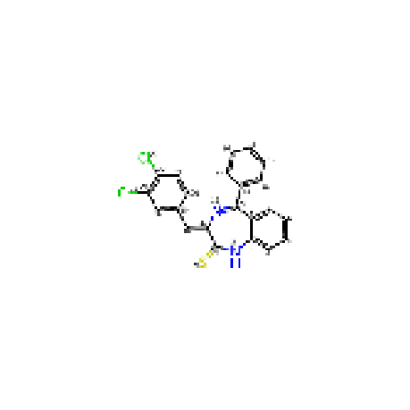 S=C1Nc2ccccc2C(c2ccccc2)=NC1Cc1ccc(Cl)c(Cl)c1